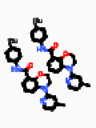 Cc1ccnc(N2CCOc3c(C(=O)Nc4ccc(C(C)(C)C)cc4)cccc32)c1.Cc1ccnc(N2CCOc3c(C(=O)Nc4ccc(C(C)(C)C)cc4)cccc32)c1